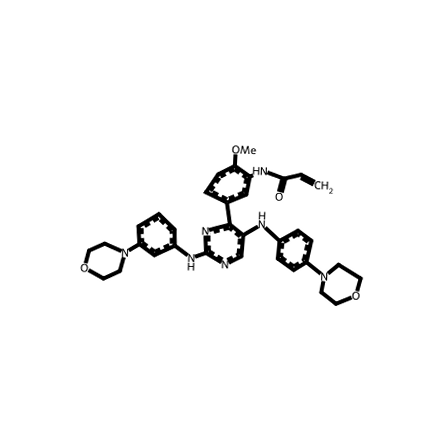 C=CC(=O)Nc1cc(-c2nc(Nc3cccc(N4CCOCC4)c3)ncc2Nc2ccc(N3CCOCC3)cc2)ccc1OC